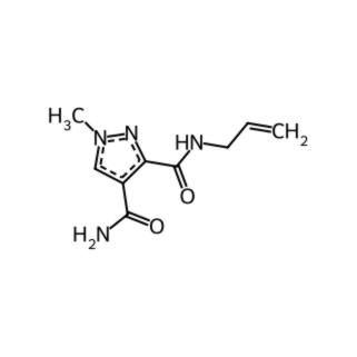 C=CCNC(=O)c1nn(C)cc1C(N)=O